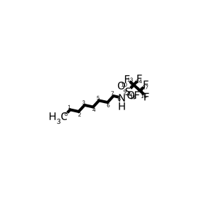 CCCCCCCCNS(=O)(=O)C(F)(F)C(F)(F)F